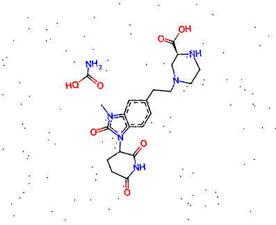 Cn1c(=O)n(C2CCC(=O)NC2=O)c2ccc(CCN3CCN[C@H](C(=O)O)C3)cc21.NC(=O)O